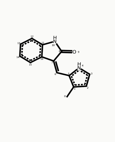 Cc1cc[nH]c1/C=C1\C(=O)Nc2ccccc21